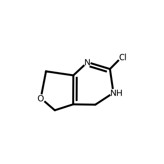 ClC1=NC2=C(CN1)COC2